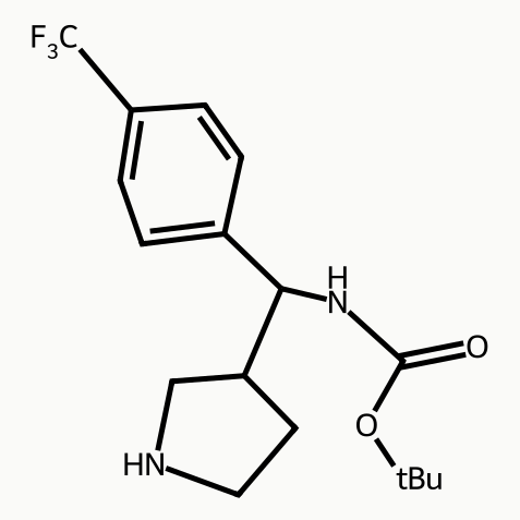 CC(C)(C)OC(=O)NC(c1ccc(C(F)(F)F)cc1)C1CCNC1